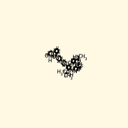 CNC(=O)c1ccccc1Nc1cc(Nc2cc(C)c(N3CCN(C4CCN(Cc5ccccc5N5CCC(=O)NC5=O)CC4)CC3)cc2OC(C)C)ncc1C(F)(F)F